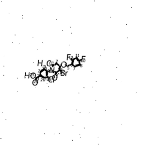 Cc1cc(OCc2ccc(F)cc2F)c(Br)c(=O)n1-c1ccc(C(=O)O)cc1Cl